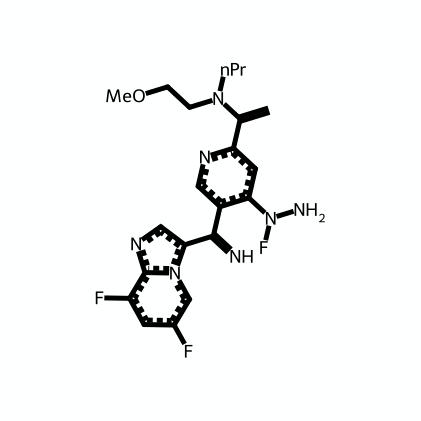 C=C(c1cc(N(N)F)c(C(=N)c2cnc3c(F)cc(F)cn23)cn1)N(CCC)CCOC